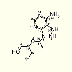 C[C@@H](O[C@H](CO)CF)N1NNc2c(N)ncnc21